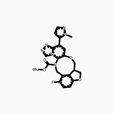 Cn1nccc1-c1cc2c(n3cnnc13)N(C(=O)OC(C)(C)C)Cc1c(F)ccc3c1C(CO3)CO2